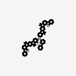 CC1(C)c2cc(N(c3ccc4c(c3)C(C)(C)c3cc5c(cc3-4)C(C)(C)c3ccc4c(oc6ccccc64)c3-5)c3cccc4c3oc3ccccc34)ccc2-c2cc3c(cc21)-c1c(ccc2c1oc1ccccc12)C3(C)C